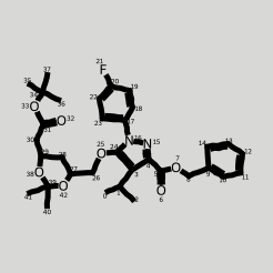 CC(C)c1c(C(=O)OCc2ccccc2)nn(-c2ccc(F)cc2)c1OCC1CC(CC(=O)OC(C)(C)C)OC(C)(C)O1